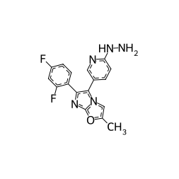 Cc1cn2c(-c3ccc(NN)nc3)c(-c3ccc(F)cc3F)nc2o1